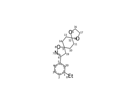 CCc1cccc(C2=NOC3(CCC4(CC3)OCCO4)C2)c1